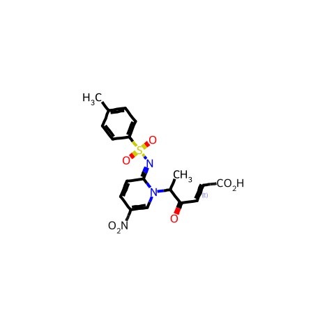 Cc1ccc(S(=O)(=O)N=c2ccc([N+](=O)[O-])cn2C(C)C(=O)/C=C/C(=O)O)cc1